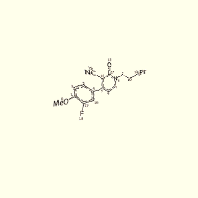 COc1ccc(-c2ccn(CCC(C)C)c(=O)c2C#N)cc1F